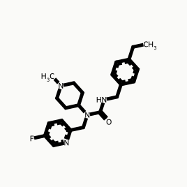 CCc1ccc(CNC(=O)N(Cc2ccc(F)cn2)C2CCN(C)CC2)cc1